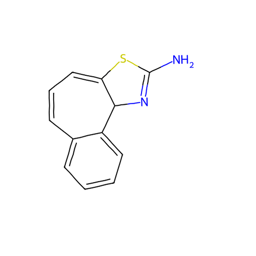 NC1=NC2C(=CC=Cc3ccccc32)S1